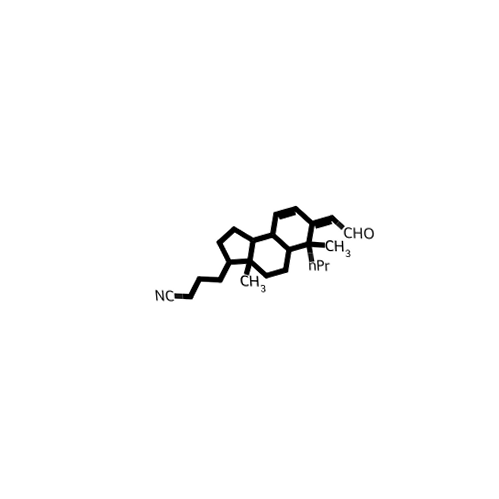 CCCC1(C)/C(=C\C=O)C=CC2C1CCC1(C)C(CCCC#N)CCC21